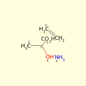 C=C.CC(O)C(=O)O.N